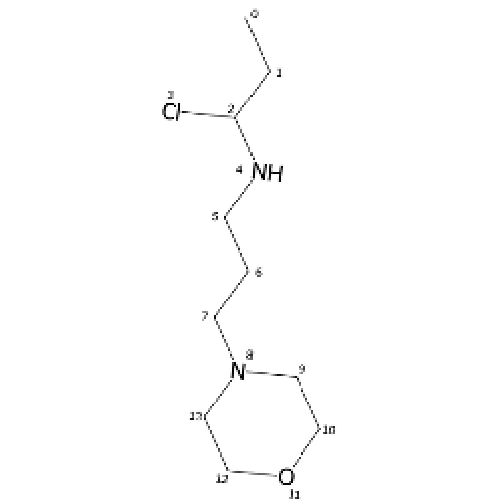 CCC(Cl)NCCCN1CCOCC1